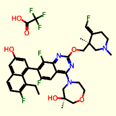 CCc1c(F)ccc2cc(O)cc(-c3c(F)cc4c(N5CCOC[C@@](C)(O)C5)nc(OC[C@]5(C)CN(C)CC/C5=C\F)nc4c3F)c12.O=C(O)C(F)(F)F